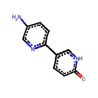 Nc1ccc(-c2ccc(=O)[nH]c2)nc1